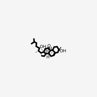 CC(C)CC[C@H](O)[C@@H](C)[C@H]1CC[C@H]2[C@@H]3CC=C4C[C@@](C)(O)CC[C@]4(C)[C@H]3C(=O)C[C@]12C